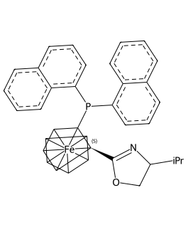 CC(C)C1COC([C@]23[CH]4[CH]5[CH]6[C]2(P(c2cccc7ccccc27)c2cccc7ccccc27)[Fe]56432789[CH]3[CH]2[CH]7[CH]8[CH]39)=N1